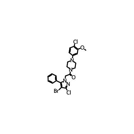 COc1cc(N2CCN(C(=O)Cn3nc(Cl)c(Br)c3-c3ccccc3)CC2)ccc1Cl